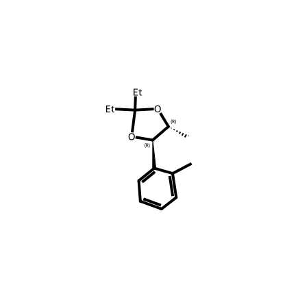 [CH2][C@H]1OC(CC)(CC)O[C@@H]1c1ccccc1C